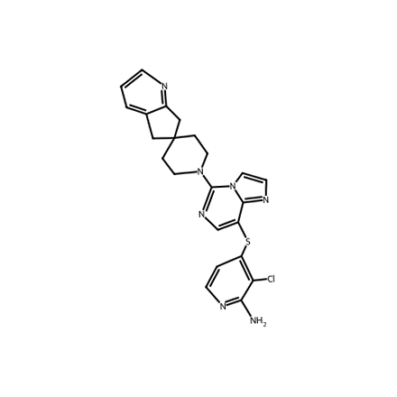 Nc1nccc(Sc2cnc(N3CCC4(CC3)Cc3cccnc3C4)n3ccnc23)c1Cl